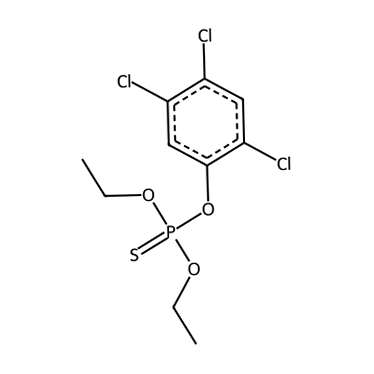 CCOP(=S)(OCC)Oc1cc(Cl)c(Cl)cc1Cl